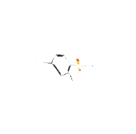 Cc1cc(C(C)(C)C)ccc1S(N)(=O)=O